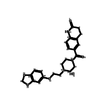 Cl.O=C1CCc2cc(C(=O)N3CCN(CCOc4ccc5c(c4)OCO5)CC3)ccc2N1